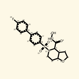 O=C(NO)C1C2CCOC2CCN1S(=O)(=O)c1ccc(-c2ccc(F)cc2)cc1